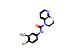 Cc1cc(NC(=O)N2CCSc3ncccc32)ccc1Br